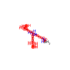 BC1CC(=O)N(CCC(=O)NCCOCCOCCOCCOCCNC(=O)CC(C(=O)NCCOCCOCCOCCOC(O)C(O)C(O)C(O)CCOP(=O)(O)O)C(=O)NCCOCCOCCOCCOC2OC(COP(=O)(O)O)C(O)C(O)C2O)C1=O